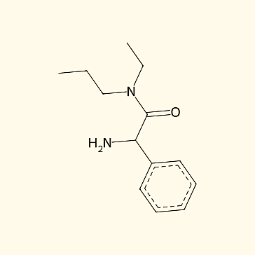 CCCN(CC)C(=O)C(N)c1ccccc1